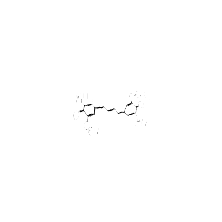 COC1=CC(=C/C=C/C=C2C=C(OC)C(=O)C(OC)=C2)C=C(OC)C1=O